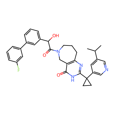 CC(C)c1cncc(C2(c3nc4c(c(=O)[nH]3)CN(C(=O)C(O)c3cccc(-c5cccc(F)c5)c3)CCC4)CC2)c1